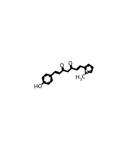 Cn1cccc1C=CC(=O)CC(=O)C=Cc1ccc(O)cc1